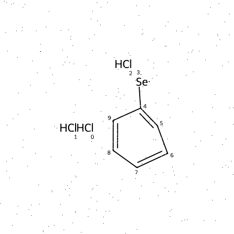 Cl.Cl.Cl.[Se]c1ccccc1